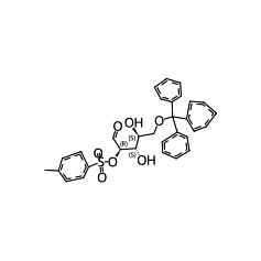 Cc1ccc(S(=O)(=O)O[C@@H](C=O)[C@@H](O)[C@@H](O)COC(c2ccccc2)(c2ccccc2)c2ccccc2)cc1